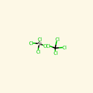 ClC(Cl)(Cl)Cl.Cl[Si](Cl)(Cl)Cl